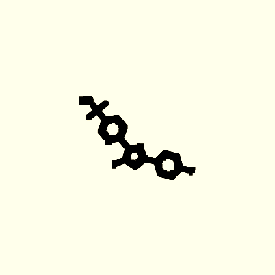 CC(C)(O)c1ccc(-c2nn(-c3ccc(F)cc3)cc2I)nc1